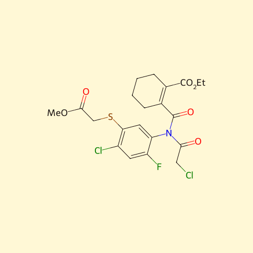 CCOC(=O)C1=C(C(=O)N(C(=O)CCl)c2cc(SCC(=O)OC)c(Cl)cc2F)CCCC1